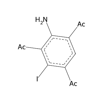 CC(=O)c1cc(C(C)=O)c(I)c(C(C)=O)c1N